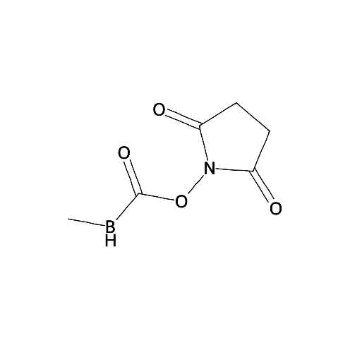 CBC(=O)ON1C(=O)CCC1=O